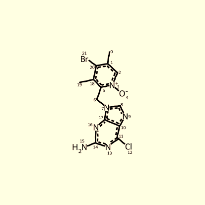 Cc1c[n+]([O-])c(Cn2cnc3c(Cl)nc(N)nc32)c(C)c1Br